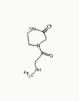 CNCC(=O)N1CCNC(=O)C1